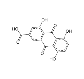 O=C(O)c1cc(O)c2c(c1)C(=O)c1c(O)ccc(O)c1C2=O